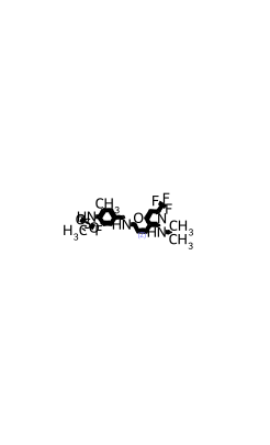 Cc1cc(CNC(=O)/C=C\c2ccc(C(F)(F)F)nc2NC(C)C)cc(F)c1NS(C)(=O)=O